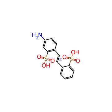 Nc1ccc(/C=C/c2ccccc2S(=O)(=O)O)c(S(=O)(=O)O)c1